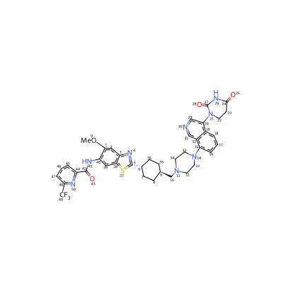 COc1cc2nc([C@H]3CC[C@H](CN4CCN(c5cccc6c(N7CCC(=O)NC7=O)cncc56)CC4)CC3)sc2cc1NC(=O)c1cccc(C(F)(F)F)n1